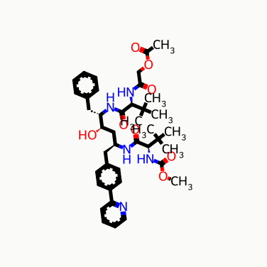 COC(=O)N[C@H](C(=O)N[C@@H](Cc1ccc(-c2ccccn2)cc1)C[C@H](O)[C@H](Cc1ccccc1)NC(=O)[C@@H](NC(=O)COC(C)=O)C(C)(C)C)C(C)(C)C